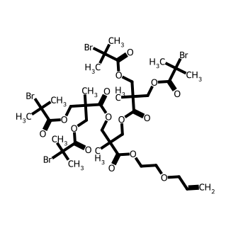 C=CCOCCOC(=O)C(C)(COC(=O)C(C)(COC(=O)C(C)(C)Br)COC(=O)C(C)(C)Br)COC(=O)C(C)(COC(=O)C(C)(C)Br)COC(=O)C(C)(C)Br